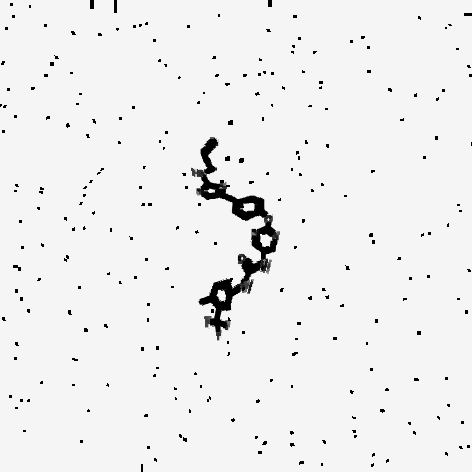 CCCNc1ncc(-c2ccc(Oc3ncc(NC(=O)Nc4ccc(C)c(C(F)(F)F)c4)cn3)cc2)s1